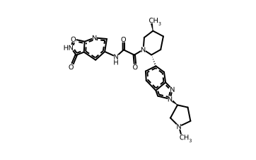 C[C@H]1CC[C@H](c2ccc3cn([C@H]4CCN(C)C4)nc3c2)N(C(=O)C(=O)Nc2cnc3o[nH]c(=O)c3c2)C1